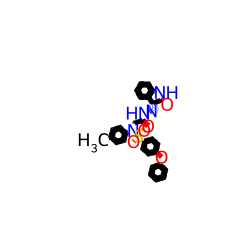 Cc1ccc(N(CC(=O)N/N=C2/C(=O)Nc3ccccc32)S(=O)(=O)c2ccc(Oc3ccccc3)cc2)cc1